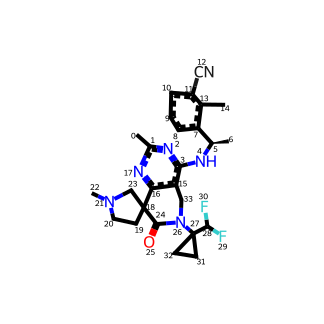 Cc1nc(N[C@H](C)c2cccc(C#N)c2C)c2c(n1)C1(CCN(C)C1)C(=O)N(C1(C(F)F)CC1)C2